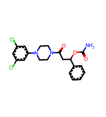 NC(=O)OC(CC(=O)N1CCN(c2cc(Cl)cc(Cl)c2)CC1)c1ccccc1